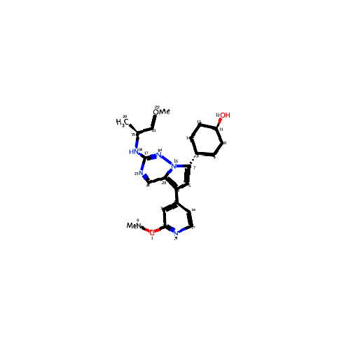 CNOc1cc(-c2cc([C@H]3CC[C@H](O)CC3)n3nc(N[C@@H](C)COC)ncc23)ccn1